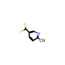 N#Cc1ccc(C(F)F)cn1